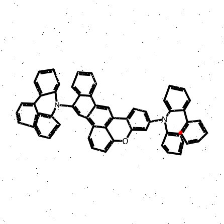 c1ccc(-c2ccccc2N(c2ccccc2)c2ccc3c(c2)Oc2cccc4c2c-3cc2c3ccccc3c(N(c3ccccc3)c3ccccc3-c3ccccc3)cc42)cc1